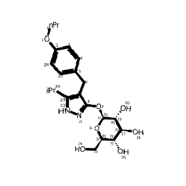 CCCOc1ccc(Cc2c(O[C@@H]3O[C@H](CO)[C@@H](O)[C@H](O)[C@H]3O)n[nH]c2C(C)C)cc1